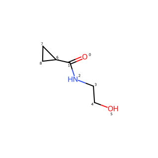 O=C(NCCO)[C]1CC1